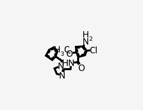 COc1cc(N)c(Cl)cc1C(=O)NCC1=NCCN1Cc1ccccc1